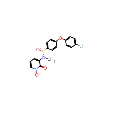 CN(c1cccn(O)c1=O)[S+]([O-])c1ccc(Oc2ccc(Cl)cc2)cc1